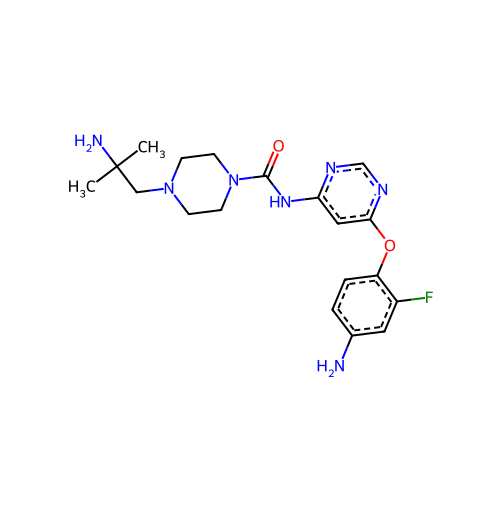 CC(C)(N)CN1CCN(C(=O)Nc2cc(Oc3ccc(N)cc3F)ncn2)CC1